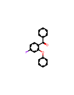 O=C(c1ccccc1)c1ccc(I)cc1Oc1ccccc1